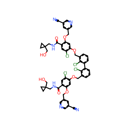 N#Cc1cncc(COc2cc(OCc3cccc(-c4cccc(COc5cc(OCc6cncc(C#N)c6)c(C(=O)NCC6(CO)CC6)cc5Cl)c4Cl)c3Cl)c(Cl)cc2C(=O)NCC2(CO)CC2)c1